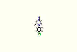 C[C@H]1CNCCN1c1ccc(Cl)cc1